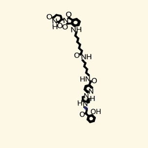 O=C(CCCCCCCNc1cccc2c1C(=O)N(C1CCC(=O)NC1=O)C2=O)NCCCCCCNC(=O)c1ccc(N2C[C@H]3C[C@@H]2CN3/C=C/C(=O)c2ccccc2O)nc1